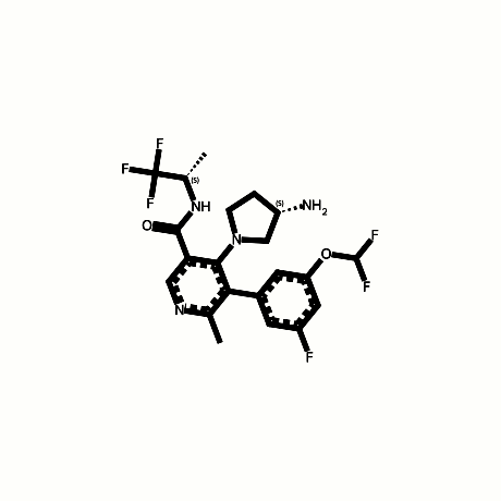 Cc1ncc(C(=O)N[C@@H](C)C(F)(F)F)c(N2CC[C@H](N)C2)c1-c1cc(F)cc(OC(F)F)c1